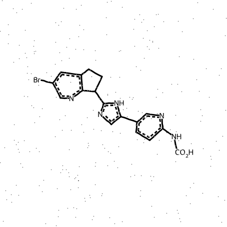 O=C(O)Nc1ccc(-c2cnc(C3CCc4cc(Br)cnc43)[nH]2)cn1